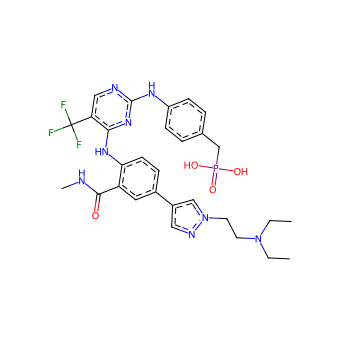 CCN(CC)CCn1cc(-c2ccc(Nc3nc(Nc4ccc(CP(=O)(O)O)cc4)ncc3C(F)(F)F)c(C(=O)NC)c2)cn1